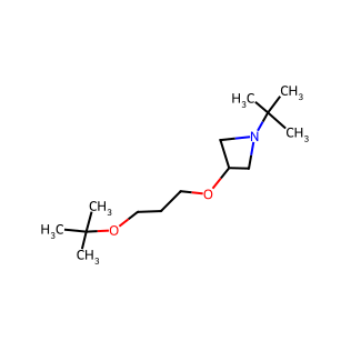 CC(C)(C)OCCCOC1CN(C(C)(C)C)C1